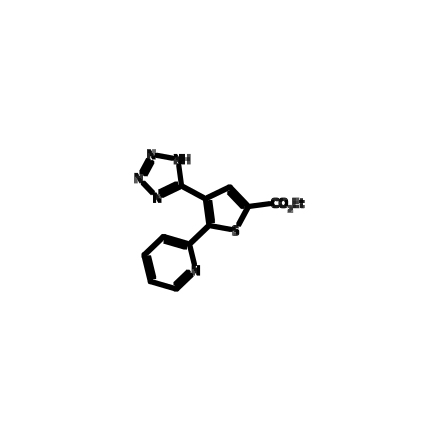 CCOC(=O)c1cc(-c2nnn[nH]2)c(-c2ccccn2)s1